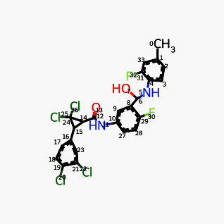 Cc1ccc(NC(O)c2cc(NC(=O)C3C(c4ccc(Cl)c(Cl)c4)C3(Cl)Cl)ccc2F)c(F)c1